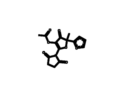 CC(=O)OC1=C(N2C(=O)CCC2=O)OC(C)(c2ccco2)C1=O